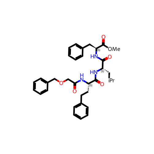 COC(=O)[C@H](Cc1ccccc1)NC(=O)[C@H](CC(C)C)NC(=O)[C@H](CCc1ccccc1)NC(=O)COCc1ccccc1